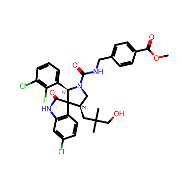 COC(=O)c1ccc(CNC(=O)N2C[C@@H](CC(C)(C)CO)C3(C(=O)Nc4cc(Cl)ccc43)[C@H]2c2cccc(Cl)c2F)cc1